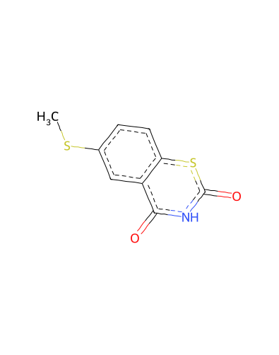 CSc1ccc2sc(=O)[nH]c(=O)c2c1